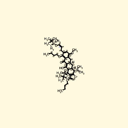 CCCCOc1noc2c1C(=O)[C@@]1(O[Si](C)(C)C(C)(C)C)C(O)=C3C(=O)c4c(c(OC)cc(C/C=C\O[Si](C)(C)C(C)(C)C)c4OCCCC)C[C@H]3C[C@H]1[C@@H]2N(C)C